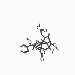 C/C=C\C(=C/C)C(OC)C(C)(C)C1CC(=O)OC2C13OC1(C)OC3(CC)C3(C)C(CC(=O)OC)C4(C)CC3(O1)C2(OC)C4OC